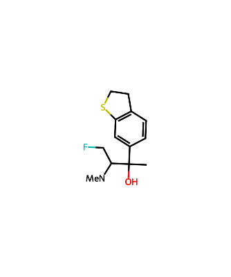 CNC(CF)C(C)(O)c1ccc2c(c1)SCC2